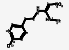 CCNC(=C[N+](=O)[O-])NCCc1ccc(Cl)nc1